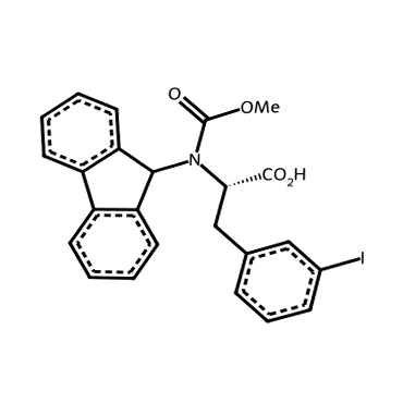 COC(=O)N(C1c2ccccc2-c2ccccc21)[C@@H](Cc1cccc(I)c1)C(=O)O